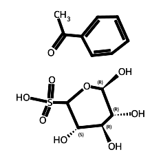 CC(=O)c1ccccc1.O=S(=O)(O)C1O[C@@H](O)[C@H](O)[C@@H](O)[C@@H]1O